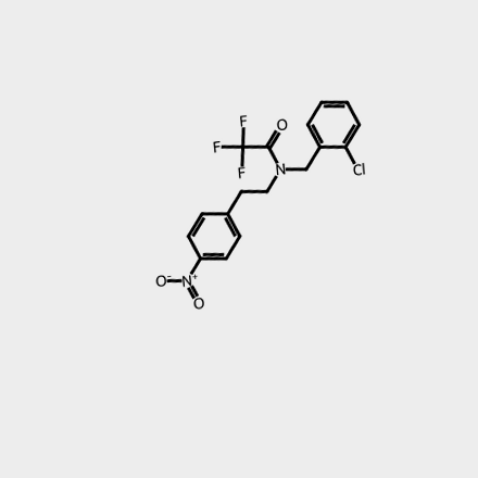 O=C(N(CCc1ccc([N+](=O)[O-])cc1)Cc1ccccc1Cl)C(F)(F)F